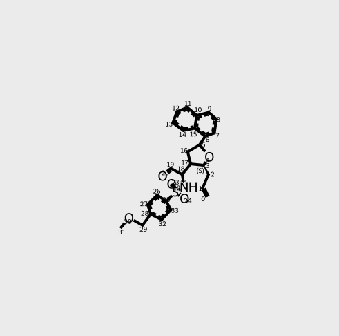 C=CC[C@@H]1OC(c2cccc3ccccc23)CC1C(C=O)NS(=O)(=O)c1ccc(COC)cc1